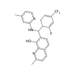 Cc1ccnc(NC(c2ccc3ccc(C)nc3c2O)C2CC=C(C(F)(F)F)C=C2F)c1